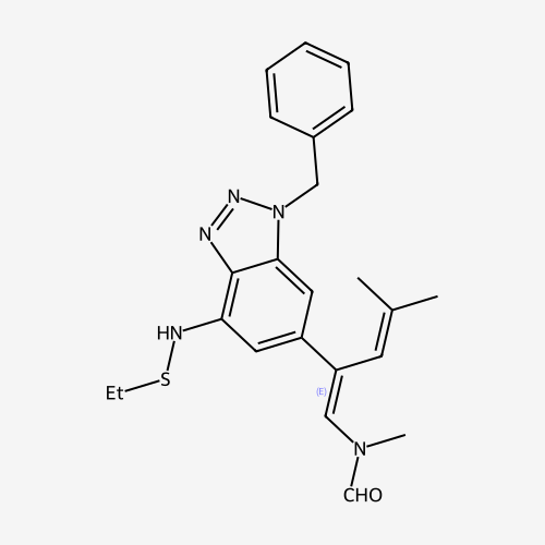 CCSNc1cc(/C(C=C(C)C)=C/N(C)C=O)cc2c1nnn2Cc1ccccc1